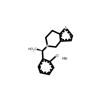 Br.O=C(O)[C@H](c1ccccc1Cl)N1CCc2sccc2C1